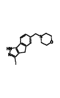 Ic1n[nH]c2c1Cc1cc(CN3CCOCC3)ccc1-2